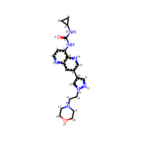 O=C(Nc1ccnc2cc(-c3cnn(CCN4CCOCC4)c3)cnc12)NC1CC1